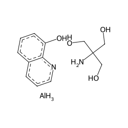 NC(CO)(CO)CO.Oc1cccc2cccnc12.[AlH3]